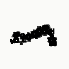 CC1(C)C(C2=CCC(COc3nccs3)(C(=O)O)CC2)=CC[C@@]2(C)C1CC[C@]1(C)C2CCC2[C@H]3CCC[C@]3(NCCN3CCS(=O)(=O)CC3)CC[C@]21C